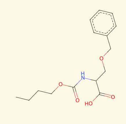 CCCCOC(=O)NC(COCc1ccccc1)C(=O)O